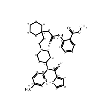 COC(=O)c1ccccc1NC(=O)CC1(CCN2CCC(N(C(=O)c3ccco3)c3ccc(C)cn3)CC2)CCCCC1